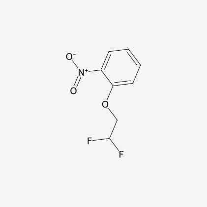 O=[N+]([O-])c1ccccc1OCC(F)F